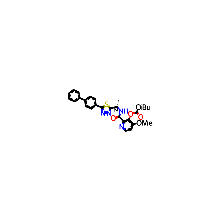 COc1ccnc(C(=O)N[C@@H](C)c2nnc(-c3ccc(-c4ccccc4)cc3)s2)c1OC(=O)OCC(C)C